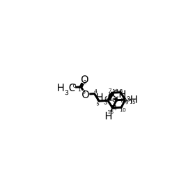 CC(=O)OCCC1=CC[C@H]2C[C@H]1C2(C)C